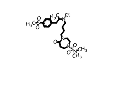 CCN(CCCCN1CCN(S(=O)(=O)N(C)C)CCC1=O)C(C)Cc1ccc(S(C)(=O)=O)cc1